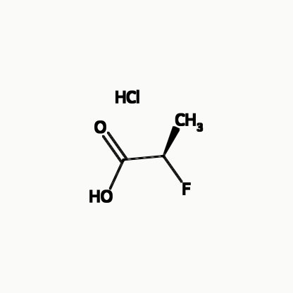 C[C@@H](F)C(=O)O.Cl